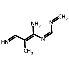 C=N/C=N\C(N)=C(/C)C=N